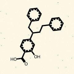 O=C(O)c1ccc(C(CCc2ccccc2)Cc2ccccc2)cc1O